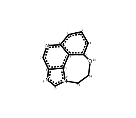 c1cc2c3c(c1)ncc1ncn(c13)CCO2